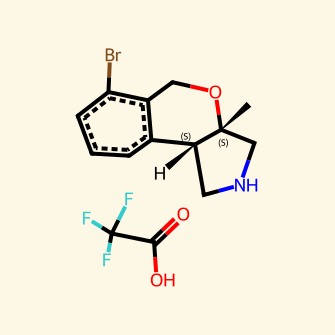 C[C@@]12CNC[C@@H]1c1cccc(Br)c1CO2.O=C(O)C(F)(F)F